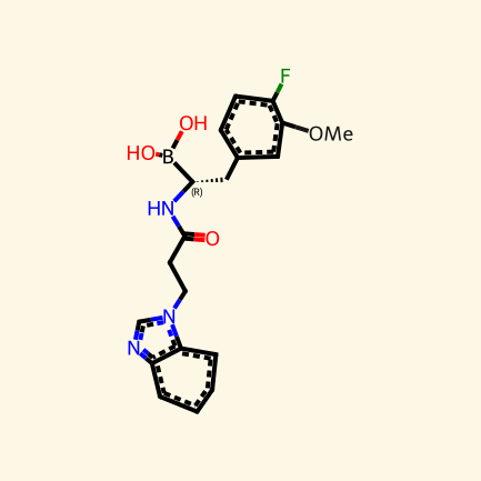 COc1cc(C[C@H](NC(=O)CCn2cnc3ccccc32)B(O)O)ccc1F